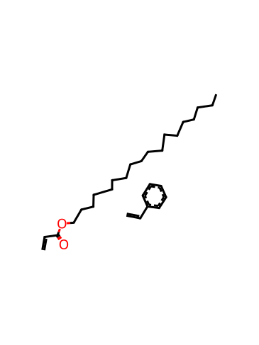 C=CC(=O)OCCCCCCCCCCCCCCCCCC.C=Cc1ccccc1